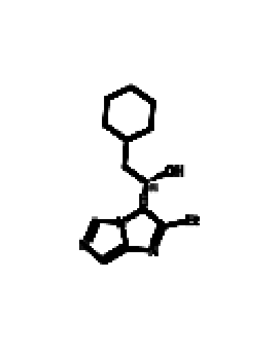 CCC1=Nc2cncn2[SH]1[C@@H](O)CC1CCCCC1